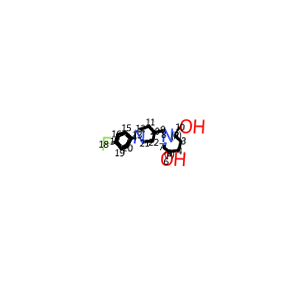 OC[C@H]1CC[C@@H](O)CN1CC1CCN(c2ccc(F)cc2)CC1